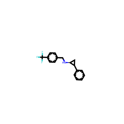 FC(F)(F)c1ccc(CN[C@H]2CC2c2ccccc2)cc1